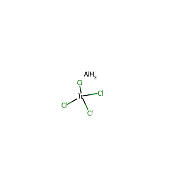 [AlH3].[Cl][Ti]([Cl])([Cl])[Cl]